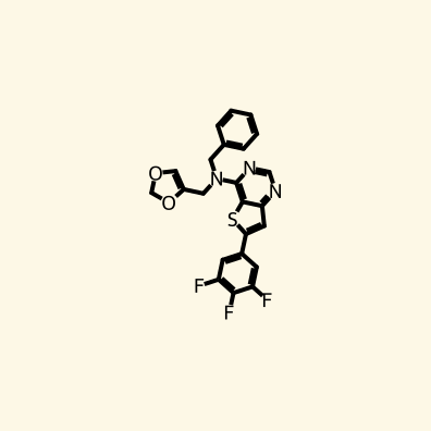 Fc1cc(-c2cc3ncnc(N(CC4=COCO4)Cc4ccccc4)c3s2)cc(F)c1F